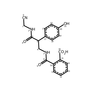 N#CCNC(=O)C(CNC(=O)c1ccccc1C(=O)O)c1ccc(O)cc1